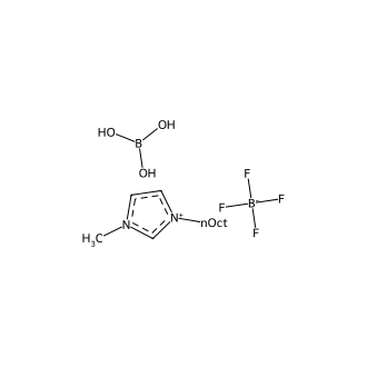 CCCCCCCC[n+]1ccn(C)c1.F[B-](F)(F)F.OB(O)O